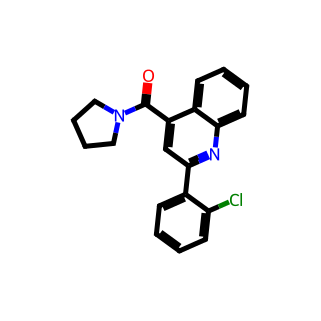 O=C(c1cc(-c2ccccc2Cl)nc2ccccc12)N1CCCC1